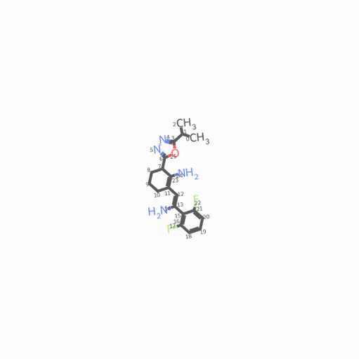 CC(C)c1nnc(C2CCCC(/C=C(\N)c3c(F)cccc3F)=C2N)o1